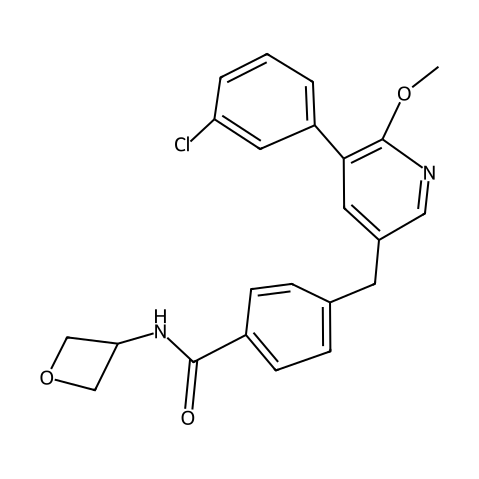 COc1ncc(Cc2ccc(C(=O)NC3COC3)cc2)cc1-c1cccc(Cl)c1